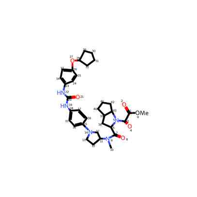 COC(=O)C(=O)N1C(C(=O)N(C)C2CCN(c3ccc(NC(=O)Nc4ccc(OC5CCCC5)cc4)cc3)C2)CC2CCCC21